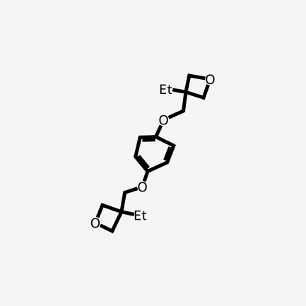 CCC1(COc2ccc(OCC3(CC)COC3)cc2)COC1